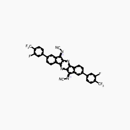 N#C/N=c1/c2cc(-c3ccc(C(F)(F)F)c(F)c3)ccc2c2nc3/c(=N/C#N)c4cc(-c5ccc(C(F)(F)F)c(F)c5)ccc4c3nc12